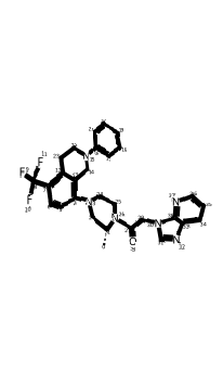 C[C@@H]1CN(c2ccc(C(F)(F)F)c3c2CN(c2ccccc2)CC3)CCN1C(=O)Cn1cnc2cccnc21